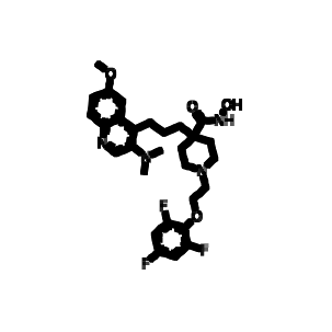 COc1ccc2ncc(N(C)C)c(CCCC3(C(=O)NO)CCN(CCOc4c(F)cc(F)cc4F)CC3)c2c1